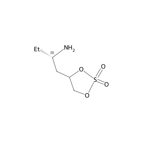 CC[C@H](N)CC1COS(=O)(=O)O1